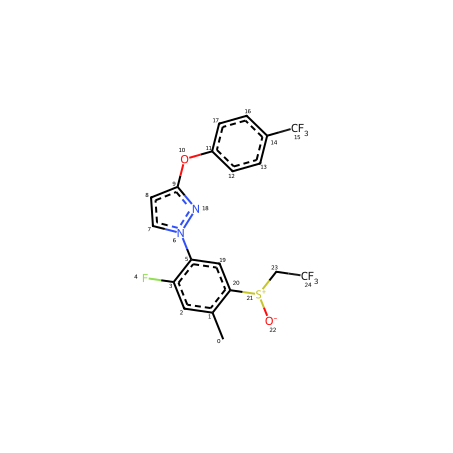 Cc1cc(F)c(-n2ccc(Oc3ccc(C(F)(F)F)cc3)n2)cc1[S+]([O-])CC(F)(F)F